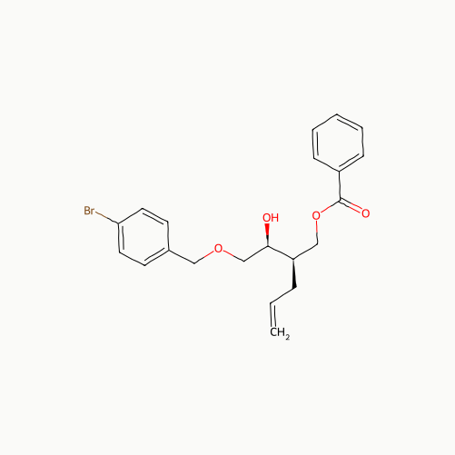 C=CC[C@H](COC(=O)c1ccccc1)[C@H](O)COCc1ccc(Br)cc1